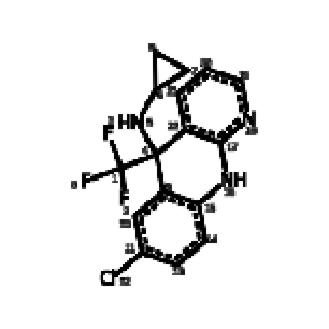 FC(F)(F)C1(NC2CC2)c2cc(Cl)ccc2Nc2ncccc21